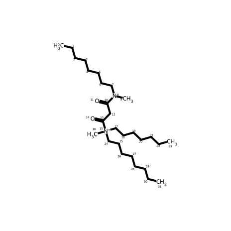 CCCCCCCCN(C)C(=O)CC(=O)[N+](C)(CCCCCCC)CCCCCCCC